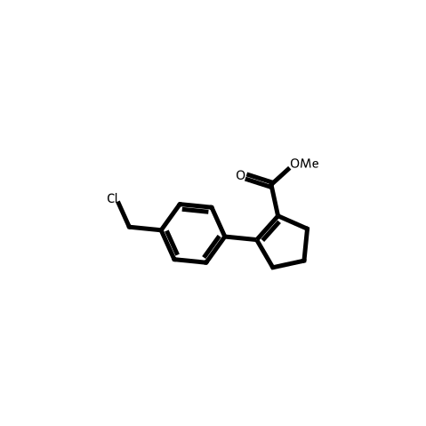 COC(=O)C1=C(c2ccc(CCl)cc2)CCC1